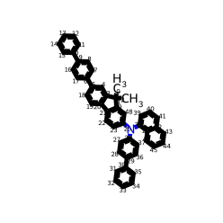 CC1(C)c2cc(-c3ccc(-c4ccccc4)cc3)ccc2-c2ccc(N(c3ccc(-c4ccccc4)cc3)c3cccc4ccccc34)cc21